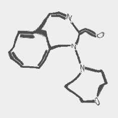 O=c1ncc2ccccc2n1N1CCOCC1